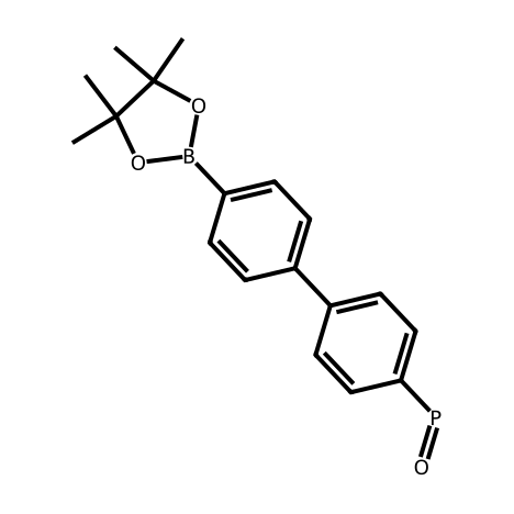 CC1(C)OB(c2ccc(-c3ccc(P=O)cc3)cc2)OC1(C)C